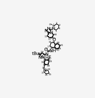 C[C@H]1CCCCN1c1nnc2ccc(O[C@@H]3CC[C@H](NC(=O)Nc4cc(C(C)(C)C)nn4-c4cc(CN5CCCC5)ccc4F)c4ccccc43)cn12